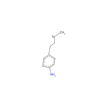 C[Te]CCc1ccc(N)cc1